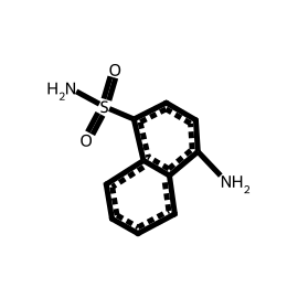 Nc1ccc(S(N)(=O)=O)c2ccccc12